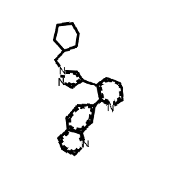 c1cnc(-c2ccc3cccnc3c2)c(-c2cnn(CC3CCCCC3)c2)c1